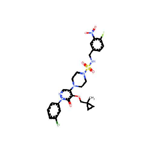 CC1(COc2c(N3CCN(S(=O)(=O)NCc4ccc(F)c([N+](=O)[O-])c4)CC3)cnn(-c3cccc(Cl)c3)c2=O)CC1